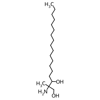 CCCCCCCCCCCCCCCC(O)C(C)(N)CO